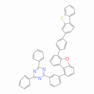 c1ccc(-c2nc(-c3ccccc3)nc(-c3cccc(-c4cccc5oc6c(-c7ccc(-c8ccc9c(c8)sc8ccccc89)cc7)cccc6c45)c3)n2)cc1